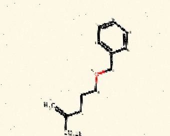 C=C(CCCOCc1ccccc1)C(=O)OCC